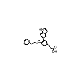 O=C(O)CCc1ccc(OCCCc2ccccc2)c(-c2ccc3[nH]ccc3c2)c1